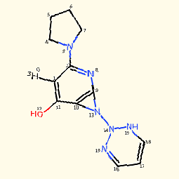 [3H]c1c(N2CCCC2)nc2c(c1O)N2N1N=CC=CN1